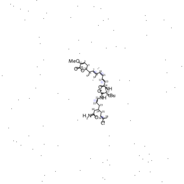 COC1=CCC(C(C)/C=C(C)/C=C\C=C\C(=O)NC(C(=O)N/C=C\CC(C/C=C(\C)Cl)CC(N)=O)C(C)(C)C)OC1=O